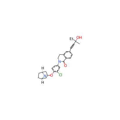 CCC(C)(O)C#Cc1ccc2c(c1)CCN(c1ccc(O[C@H]3C[C@H]4CC[C@@H](C3)N4C)c(Cl)c1)C2=O